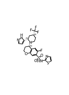 O=S(=O)(Nc1nccs1)c1cc2c(cc1F)[C@@H](N1CC[C@@H](C(F)(F)F)C[C@H]1c1ccn[nH]1)CCO2